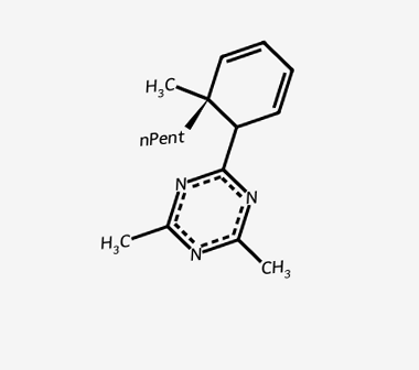 CCCCC[C@@]1(C)C=CC=CC1c1nc(C)nc(C)n1